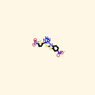 O=[N+]([O-])c1ccc2nc(SC3(c4ccc([N+](=O)[O-])s4)N=NN=N3)sc2c1